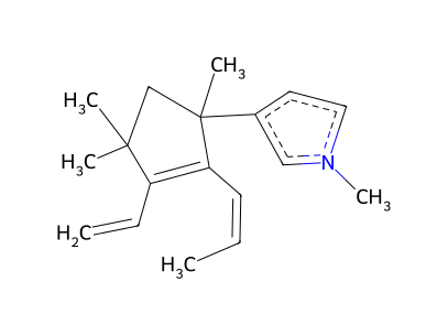 C=CC1=C(/C=C\C)C(C)(c2ccn(C)c2)CC1(C)C